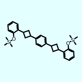 C[Si](C)(C)Oc1ccccc1C1CC(c2ccc(C3CC(c4ccccc4O[Si](C)(C)C)C3)cc2)C1